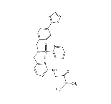 CN(C)C(=O)CNc1cccc(CN(Cc2ccc(-c3nccs3)cc2)S(=O)(=O)c2ccccn2)n1